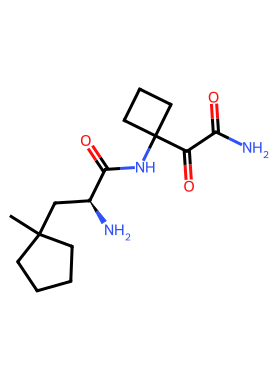 CC1(C[C@H](N)C(=O)NC2(C(=O)C(N)=O)CCC2)CCCC1